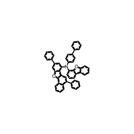 c1ccc(-c2ccc(N(c3cccc4c3oc3ccccc34)c3cc(-c4ccccc4)cc4oc5c6ccccc6c(-c6ccccc6)cc5c34)cc2)cc1